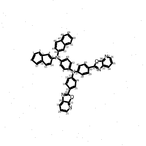 c1ccc2cc(N(c3ccc(N(c4ccc(-c5nc6cccnc6o5)cc4)c4ccc(-c5nc6cccnc6o5)cc4)cc3)c3ccc4ccccc4c3)ccc2c1